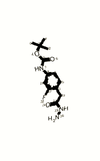 CC(C)(C)OC(=O)Nc1ccc(CC(=O)NN)c(F)c1